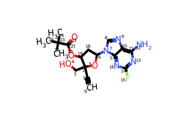 C#CC1(CO)OC(n2cnc3c(N)nc(F)nc32)CC1OC(=O)C(C)(C)C